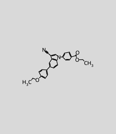 CCOC(=O)c1ccc(-n2cc(C#N)c3cc(-c4ccc(OCC)cc4)ccc32)cc1